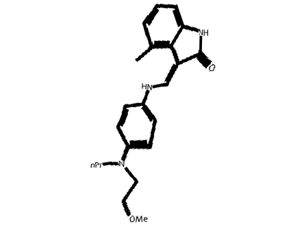 CCCN(CCOC)c1ccc(N/C=C2/C(=O)Nc3cccc(C)c32)cc1